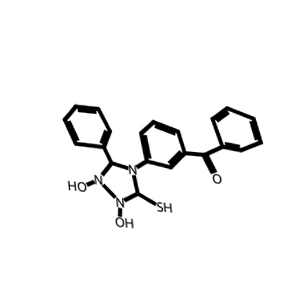 O=C(c1ccccc1)c1cccc(N2C(S)N(O)N(O)C2c2ccccc2)c1